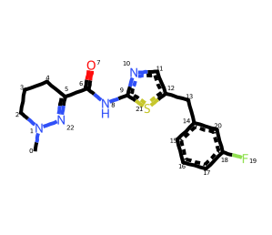 CN1CCCC(C(=O)Nc2ncc(Cc3cccc(F)c3)s2)=N1